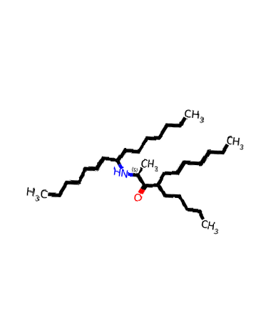 CCCCCCCC(CCCCCCC)N[C@@H](C)C(=O)C(CCCCC)CCCCCCC